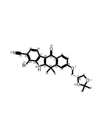 CC1(C)OC[C@@H](COc2ccc3c(c2)C(C)(C)c2[nH]c4c(Br)c(C#N)ccc4c2C3=O)O1